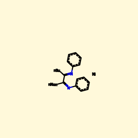 CCCCCCCCCC(=Nc1ccccc1)C(CCCC)=Nc1ccccc1.[Ni]